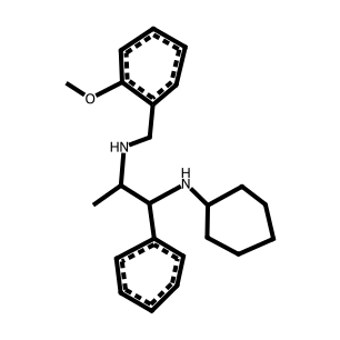 COc1ccccc1CNC(C)C(NC1CCCCC1)c1ccccc1